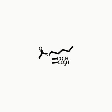 CC(=O)O.CC(=O)O.CCCCCOC(C)=O